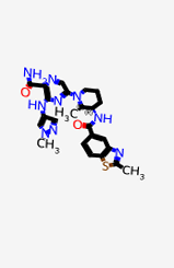 Cc1nc2cc(C(=O)N[C@@H]3CCCN(c4cnc(C(N)=O)c(Nc5cnn(C)c5)n4)[C@@H]3C)ccc2s1